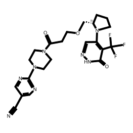 N#Cc1cnc(N2CCN(C(=O)CCOC[C@@H]3CCCN3c3cn[nH]c(=O)c3C(F)(F)F)CC2)nc1